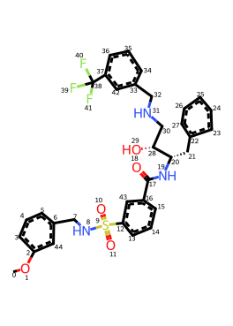 COc1cccc(CNS(=O)(=O)c2cccc(C(=O)N[C@@H](Cc3ccccc3)[C@H](O)CNCc3cccc(C(F)(F)F)c3)c2)c1